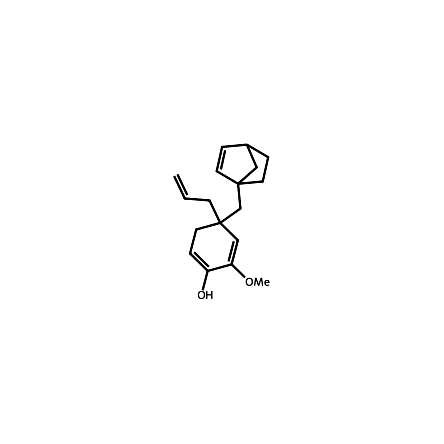 C=CCC1(CC23C=CC(CC2)C3)C=C(OC)C(O)=CC1